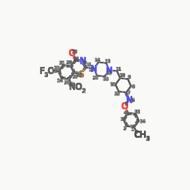 Cc1ccc(ON=C2CCC(CN3CCN(c4nc(=O)c5cc(C(F)(F)F)cc([N+](=O)[O-])c5s4)CC3)CC2)cc1